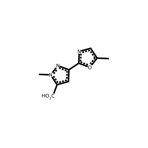 Cc1cnc(-c2cc(C(=O)O)n(C)n2)o1